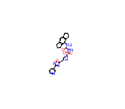 O=C(Nc1c2c(cc3c1CCC3)CCC2)NS(=O)(=O)NCCc1nc(-c2cccnc2)no1